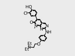 CCN(CC)CCOc1ccc(Nc2ncc3cc(-c4ccc(O)c(Cl)c4)c(=O)n(C)c3n2)cc1